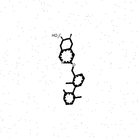 Cc1cccc(C)c1-c1cccc(COc2cc3c(cn2)C[C@@H](C(=O)O)[C@@H](C)C3)c1C